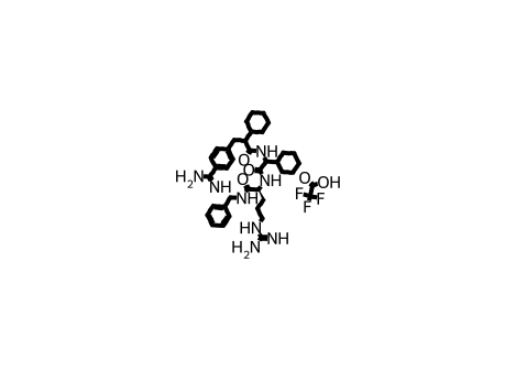 N=C(N)NCCC[C@H](NC(=O)C(NC(=O)C(Cc1ccc(C(=N)N)cc1)C1CCCCC1)C1CCCCC1)C(=O)NCc1ccccc1.O=C(O)C(F)(F)F